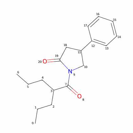 CCCC(CCC)C(=O)N1CC(c2ccccc2)CC1=O